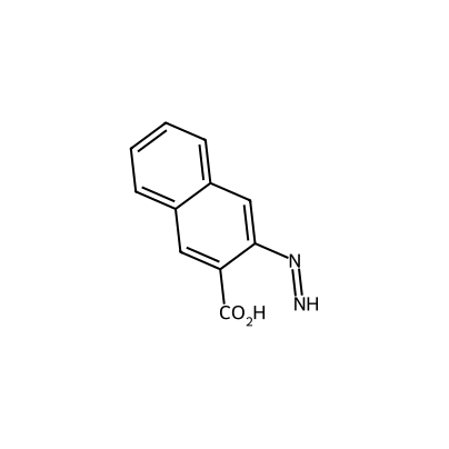 N=Nc1cc2ccccc2cc1C(=O)O